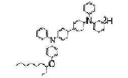 [3H]c1cccc(N(c2ccccc2)c2ccc(-c3ccc(N(c4ccccc4)c4ccc(OC(CC)CCCCCC)cc4)cc3)cc2)c1